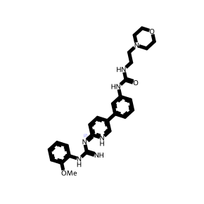 COc1ccccc1NC(=N)/N=c1/ccc(-c2cccc(NC(=O)NCCN3CCOCC3)c2)c[nH]1